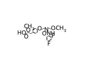 CCOCCN(CCOc1ccc(CC(OCC)C(=O)O)cc1)C(=O)Nc1ccc(F)cc1F